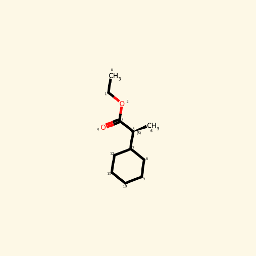 CCOC(=O)[C@@H](C)C1CCCCC1